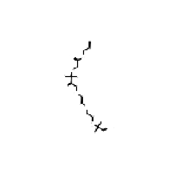 CCCNC(=O)CNC(C)(C)C(=O)COCCOCCNC(C)(C)C=O